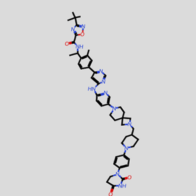 Cc1cc(-c2cc(Nc3ccc(N4CCC5(CC4)CN(CC4CCN(c6ccc(N7CCC(=O)NC7=O)cc6)CC4)C5)cn3)ncn2)ccc1C(C)NC(=O)c1nc(C(C)(C)C)no1